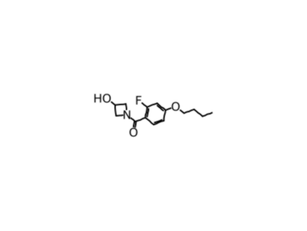 CCCCOc1ccc(C(=O)N2CC(O)C2)c(F)c1